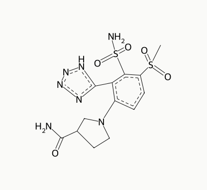 CS(=O)(=O)c1ccc(N2CCC(C(N)=O)C2)c(-c2nnn[nH]2)c1S(N)(=O)=O